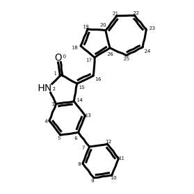 O=C1Nc2ccc(-c3ccccc3)cc2/C1=C/c1ccc2cccccc1-2